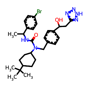 CC(NC(=O)N(Cc1ccc(C(O)Cc2nn[nH]n2)cc1)C1CCC(C(C)(C)C)CC1)c1ccc(Br)cc1